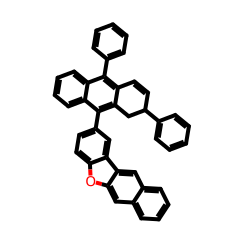 C1=CC(c2ccccc2)Cc2c1c(-c1ccccc1)c1ccccc1c2-c1ccc2oc3cc4ccccc4cc3c2c1